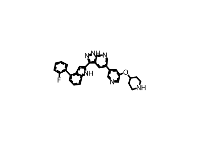 Fc1ccccc1-c1cccc2[nH]c(-c3n[nH]c4ncc(-c5cncc(OC6CCNCC6)c5)cc34)cc12